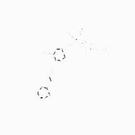 NC(CO)(CCc1ccc(OC/C=C/c2ccc(C(F)(F)F)cc2)c(C(F)(F)F)c1)COP(=O)(O)O